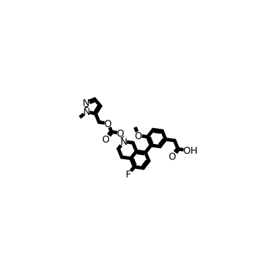 COc1ccc(CC(=O)O)cc1-c1ccc(F)c2c1CN(OC(=O)OCc1ccnn1C)CC2